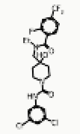 CCN(CC1(O)CCN(C(=O)Nc2cc(Cl)cc(Cl)c2)CC1)C(=O)c1ccc(C(F)(F)F)cc1F